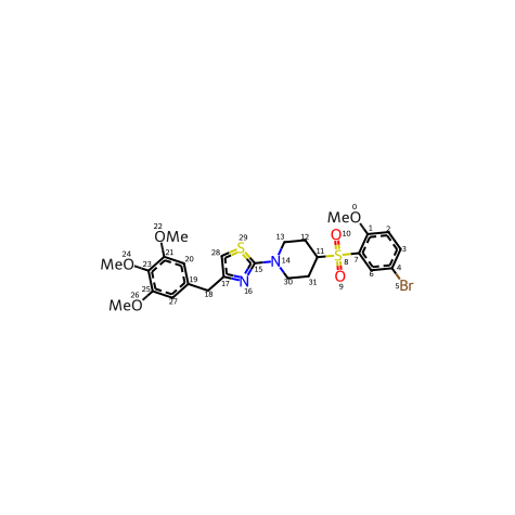 COc1ccc(Br)cc1S(=O)(=O)C1CCN(c2nc(Cc3cc(OC)c(OC)c(OC)c3)cs2)CC1